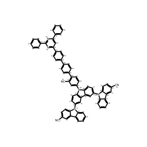 N#Cc1ccc2c(c1)c1ccccc1n2-c1ccc2c(c1)c1cc(-n3c4ccccc4c4cc(C#N)ccc43)ccc1n2-c1ccc(-c2ccc(-c3ccc(-c4cc(-c5ccccc5)nc(-c5ccccc5)n4)cc3)cc2)c(C#N)c1